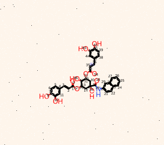 O=C(C=Cc1ccc(O)c(O)c1)O[C@@H]1CC(O)(C(=O)Nc2ccc3ccccc3c2)C[C@@H](OC(=O)/C=C/c2ccc(O)c(O)c2)C1O